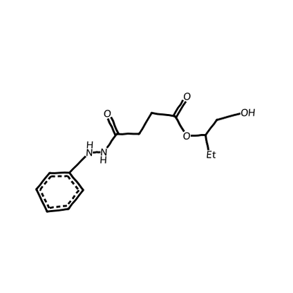 CCC(CO)OC(=O)CCC(=O)NNc1ccccc1